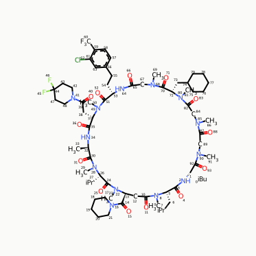 CC[C@H](C)[C@@H]1NC(=O)[C@H](CC(C)C)N(C)C(=O)C[C@@H](C(=O)N2CCCCC2)N(C)C(=O)[C@H](C(C)C)N(C)C(=O)[C@@H](C)NC(=O)[C@H](CC(=O)N2CCC(F)(F)CC2)N(C)C(=O)[C@H](CCc2ccc(C(F)(F)F)c(Cl)c2)NC(=O)CN(C)C(=O)[C@H](CC2CCCCC2)N(C)C(=O)CN(C)C(=O)CN(C)C1=O